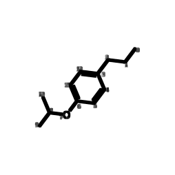 [CH2]CCc1ccc(OC(C)C)cc1